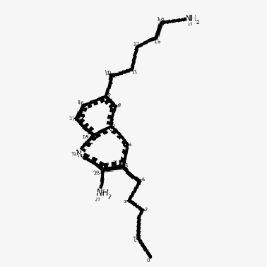 CCCCCc1cc2cc(CCCCCN)ccc2nc1N